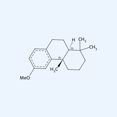 COc1ccc2c(c1)[C@@]1(C)CCCC(C)(C)[C@@H]1CC2